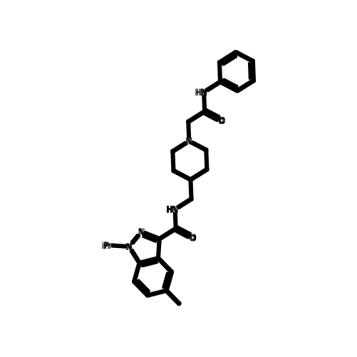 Cc1ccc2c(c1)c(C(=O)NCC1CCN(CC(=O)Nc3ccccc3)CC1)nn2C(C)C